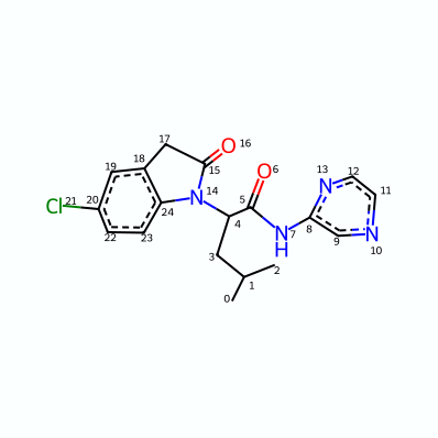 CC(C)CC(C(=O)Nc1cnccn1)N1C(=O)Cc2cc(Cl)ccc21